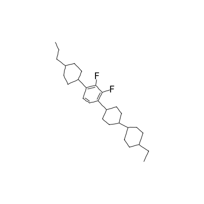 CCCC1CCC(c2ccc(C3CCC(C4CCC(CC)CC4)CC3)c(F)c2F)CC1